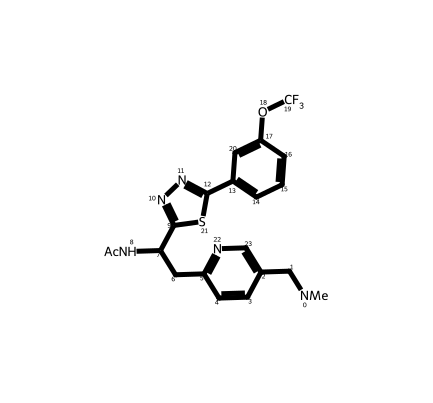 CNCc1ccc(CC(NC(C)=O)c2nnc(-c3cccc(OC(F)(F)F)c3)s2)nc1